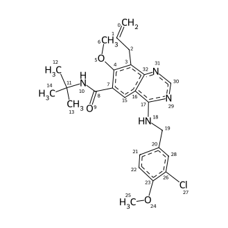 C=CCc1c(OC)c(C(=O)NC(C)(C)C)cc2c(NCc3ccc(OC)c(Cl)c3)ncnc12